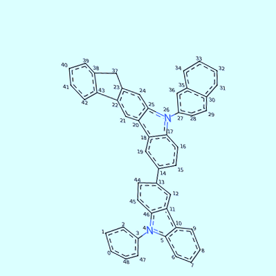 c1ccc(-n2c3ccccc3c3cc(-c4ccc5c(c4)c4cc6c(cc4n5-c4ccc5ccccc5c4)Cc4ccccc4-6)ccc32)cc1